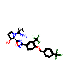 C=C(N)N1CC[C@H](O)[C@H]1c1nc(-c2ccc(OCc3ccc(C(F)(F)F)cc3)c(C(F)(F)F)c2)no1